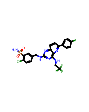 NS(=O)(=O)c1cc(CNc2nc(NCC(F)(F)F)c3nc(-c4ccc(F)cc4)ccc3n2)ccc1Cl